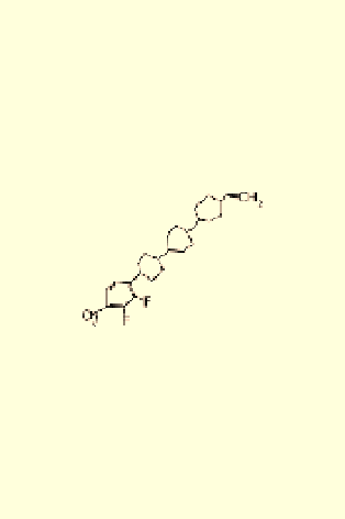 C=CC1CCC(C2CCC(C3CCC(c4ccc(C5CO5)c(F)c4F)CC3)CC2)CC1